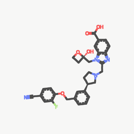 N#Cc1ccc(OCc2cccc([C@H]3CCN(Cc4nc5ccc(C(=O)O)cc5n4C[C@@]4(O)CCO4)C3)c2)c(F)c1